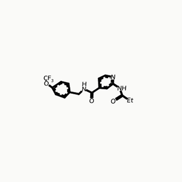 CCC(=O)Nc1cc(C(=O)NCc2ccc(OC(F)(F)F)cc2)ccn1